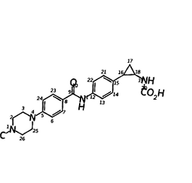 CN1CCN(c2ccc(C(=O)Nc3ccc(C4CC4NC(=O)O)cc3)cc2)CC1